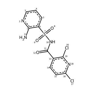 Nc1ncccc1S(=O)(=O)NC(=O)c1ccc(Cl)nc1Cl